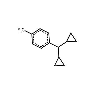 FC(F)(F)c1ccc(C(C2CC2)C2CC2)cc1